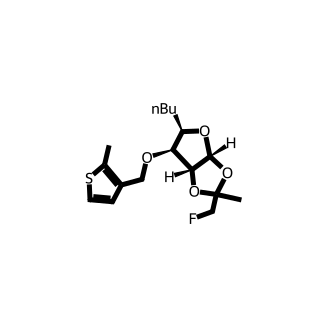 CCCC[C@H]1O[C@@H]2OC(C)(CF)O[C@@H]2[C@H]1OCc1ccsc1C